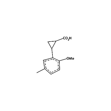 COc1ccc(C)cc1C1CC1C(=O)O